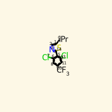 CC(C)c1cnc(-c2c(Cl)cc(C(F)(F)F)cc2Cl)s1